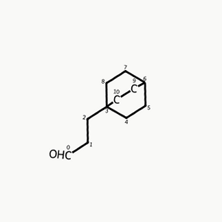 O=CCCC12CCC(CC1)CC2